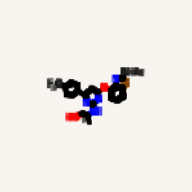 CC(=O)Nc1nc2c(Oc3cc(-c4ccc(C(F)(F)F)cc4)nc(N[C@@H](C)CO)n3)cccc2s1